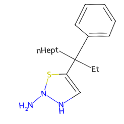 CCCCCCCC(CC)(C1=CNN(N)S1)c1ccccc1